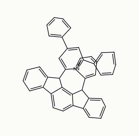 c1ccc(-c2cc(-c3ccccc3)nc(C3c4ccccc4-c4ccc5c(c43)C(c3ccccn3)c3ccccc3-5)c2)cc1